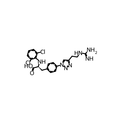 N=C(N)NCCc1cn(-c2ccc(C[C@H](Nc3c(Cl)cccc3Cl)C(=O)O)cc2)nn1